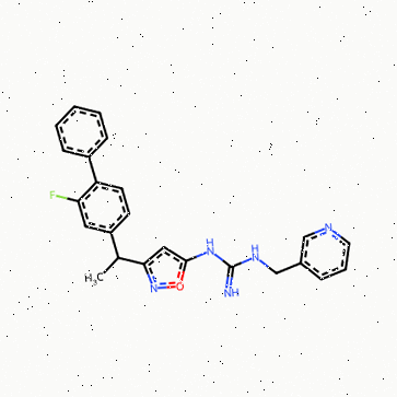 CC(c1ccc(-c2ccccc2)c(F)c1)c1cc(NC(=N)NCc2cccnc2)on1